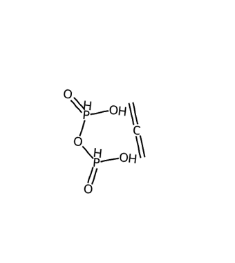 C=C=C.O=[PH](O)O[PH](=O)O